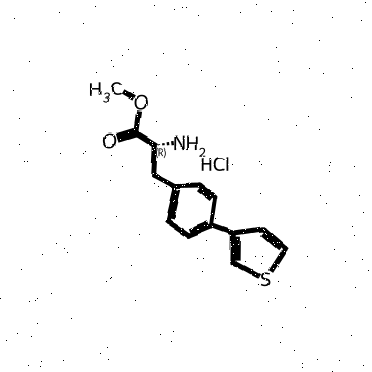 COC(=O)[C@H](N)Cc1ccc(-c2ccsc2)cc1.Cl